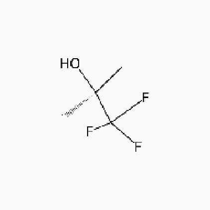 [CH2][C@@](C)(O)C(F)(F)F